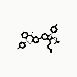 C=C/C=C\Cc1c(OC(=C)C)n(-c2ccc(C)cc2)c2ccc(-c3ccc4c(c3)[C@@H](C)c3ccccc3N(c3ccc(C)cc3)O4)cc12